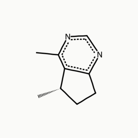 Cc1ncnc2c1[C@@H](C)CC2